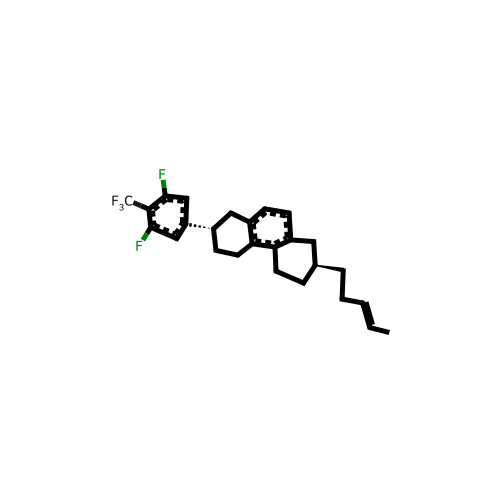 C/C=C/CC[C@H]1CCc2c(ccc3c2CC[C@H](c2cc(F)c(C(F)(F)F)c(F)c2)C3)C1